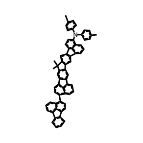 Cc1ccc(N(c2ccc(C)cc2)c2ccc3c4c(cccc24)-c2cc4c(cc2-3)C(C)(C)c2cc3c(cc2-4)-c2cccc4c(-c5ccc6c7c(cccc57)-c5ccccc5-6)ccc-3c24)cc1